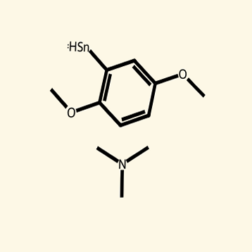 CN(C)C.COc1ccc(OC)[c]([SnH])c1